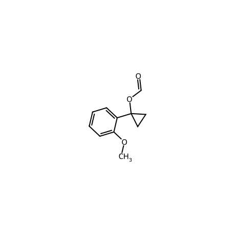 COc1ccccc1C1(OC=O)CC1